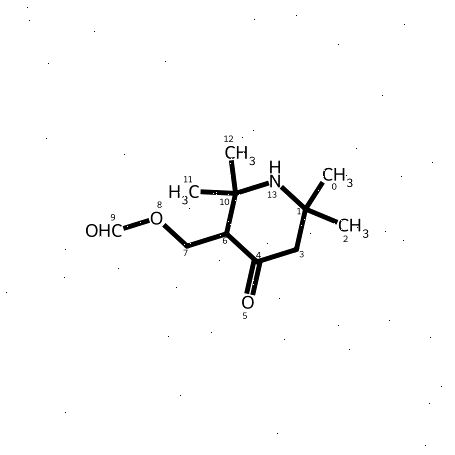 CC1(C)CC(=O)C(COC=O)C(C)(C)N1